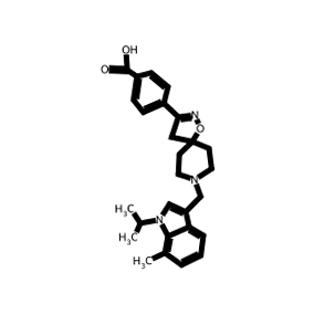 Cc1cccc2c(CN3CCC4(CC3)CC(c3ccc(C(=O)O)cc3)=NO4)cn(C(C)C)c12